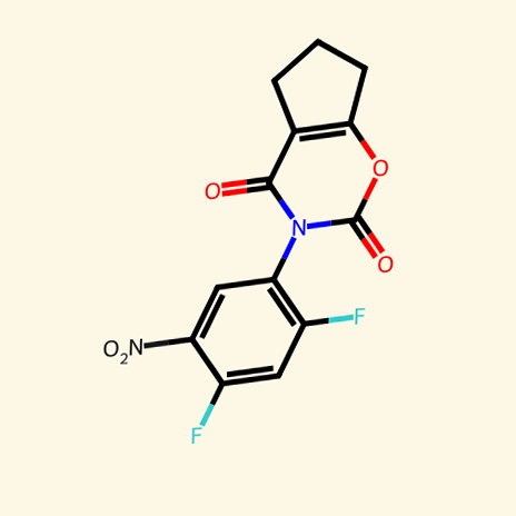 O=c1oc2c(c(=O)n1-c1cc([N+](=O)[O-])c(F)cc1F)CCC2